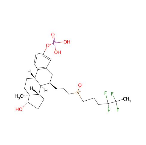 CC(F)(F)C(F)(F)CCC[S+]([O-])CCC[C@@H]1Cc2cc(OP(=O)(O)O)ccc2[C@H]2CC[C@]3(C)[C@@H](O)CC[C@H]3[C@H]12